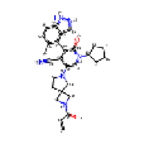 C=CC(=O)N1CC2(CCN(c3cn(C4CCCC4)c(=O)c(-c4c(C)ccc5[nH]ncc45)c3C#N)C2)C1